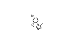 Cc1nnc2n1-c1ccc(Br)cc1OC2